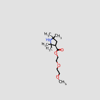 COCCOCCOC(=O)C1CC(C)(C)NC1(C)C